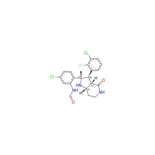 C[C@]1(c2ccc(Cl)cc2NC=O)N[C@H]2CCNC(=O)[C@H]2[C@@H]1c1cccc(Cl)c1F